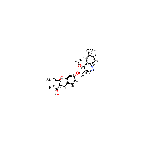 CCC(=O)C(Cc1ccc(OCc2cnc3ccc(OC)cc3c2OC(C)C)cc1)C(=O)OC